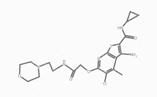 Cc1c(Cl)c(OCC(=O)NCCN2CCOCC2)nc2sc(C(=O)NC3CC3)c(N)c12